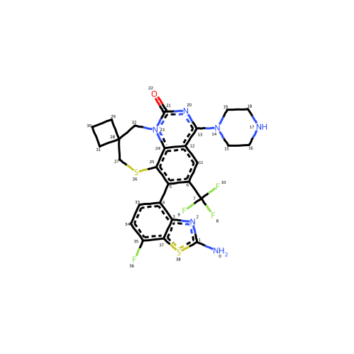 Nc1nc2c(-c3c(C(F)(F)F)cc4c(N5CCNCC5)nc(=O)n5c4c3SCC3(CCC3)C5)ccc(F)c2s1